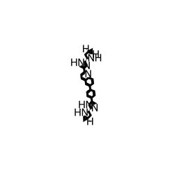 c1cc(-c2cnc([C@@H]3C[C@H]4CC4N3)[nH]2)ccc1-c1ccc2nc(-c3c[nH]c([C@@H]4C[C@H]5C[C@H]5N4)n3)ccc2c1